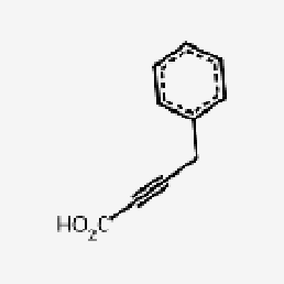 O=C(O)C#CCc1ccccc1